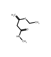 C=C(CC(=O)NC)SCC